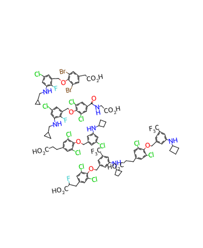 O=C(O)C(F)Cc1cc(Cl)c(OCc2cc(NC3CCC3)cc(C(F)(F)F)c2)c(Cl)c1.O=C(O)CCc1cc(Cl)c(OCc2cc(Cl)cc(NC3CCC3)c2)c(Cl)c1.O=C(O)CCc1cc(Cl)c(OCc2cc(NC3CCC3)cc(C(F)(F)F)c2)c(Cl)c1.O=C(O)CNC(=O)c1cc(Cl)c(OCc2cc(Cl)cc(NCC3CC3)c2F)c(Cl)c1.O=C(O)Cc1cc(Br)c(OCc2cc(Cl)cc(NCC3CC3)c2F)c(Br)c1